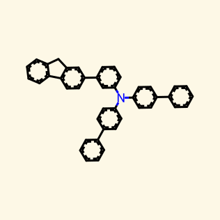 c1ccc(-c2ccc(N(c3ccc(-c4ccccc4)cc3)c3cccc(-c4ccc5c(c4)Cc4ccccc4-5)c3)cc2)cc1